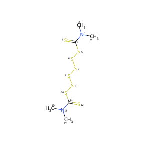 CN(C)C(=S)SSSSSSC(=S)N(C)C